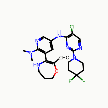 CN(C)c1ncc(Nc2nc(N3CCC(F)(F)CC3)ncc2Cl)cc1C1=C(C=O)OCCCN1